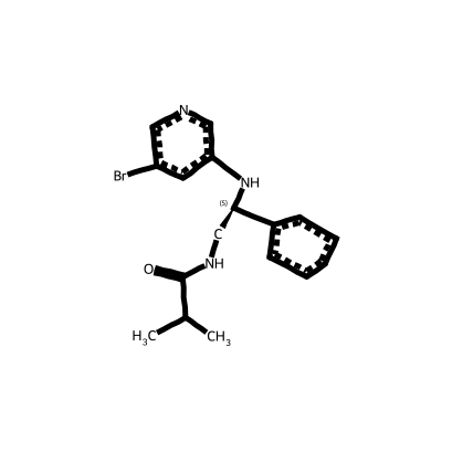 CC(C)C(=O)NC[C@@H](Nc1cncc(Br)c1)c1ccccc1